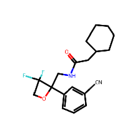 N#Cc1cccc(C2(CNC(=O)CC3CCCCC3)OCC2(F)F)c1